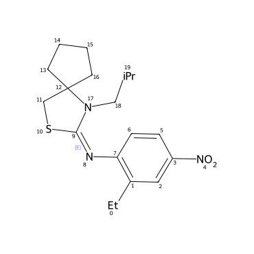 CCc1cc([N+](=O)[O-])ccc1/N=C1/SCC2(CCCC2)N1CC(C)C